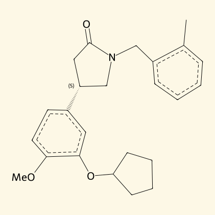 COc1ccc([C@@H]2CC(=O)N(Cc3ccccc3C)C2)cc1OC1CCCC1